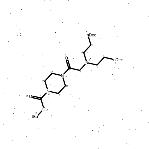 CCCCCCCCCCCCN(CCCCCCCCCCCC)CC(=O)N1CCN(C(=O)OC(C)(C)C)CC1